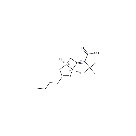 CCCCC1=C[C@@H]2/C(=C(/C(=O)O)C(C)(C)C)C[C@@H]2C1